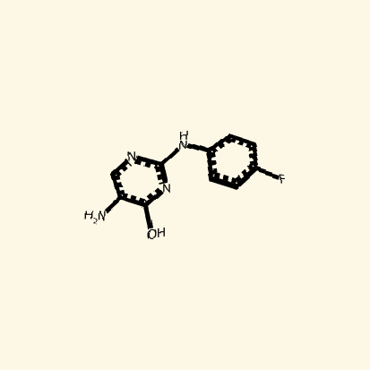 Nc1cnc(Nc2ccc(F)cc2)nc1O